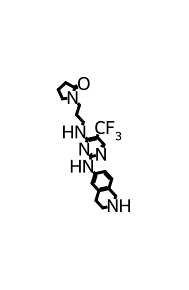 O=C1CCCN1CCCNc1nc(Nc2ccc3c(c2)CCNC3)ncc1C(F)(F)F